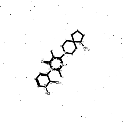 Cc1c(N2CCC3(CCC[C@H]3N)CC2)nc(C)n(C2=CC=C[C@H](Cl)C2Cl)c1=O